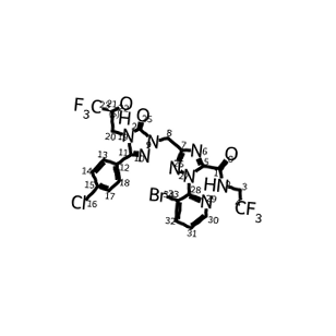 O=C(NCC(F)(F)F)c1nc(Cn2nc(-c3ccc(Cl)cc3)n(C[C@H](O)C(F)(F)F)c2=O)nn1-c1ncccc1Br